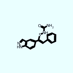 NC(=O)NSC(=Cc1ccccc1)c1ccc2[nH]ncc2c1